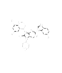 O=c1n(C2CCOCC2)c2cnc(-n3cnc4ccc(F)cc43)nc2n1C1CCOc2c(F)cc(F)cc21